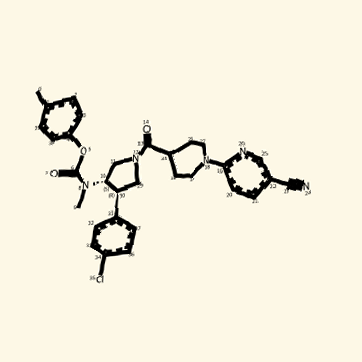 Cc1ccc(OC(=O)N(C)[C@@H]2CN(C(=O)C3CCN(c4ccc(C#N)cn4)CC3)C[C@H]2c2ccc(Cl)cc2)cc1